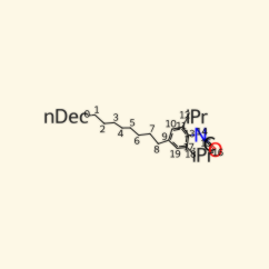 CCCCCCCCCCCCCCCCCCc1cc(C(C)C)c(N=C=O)c(C(C)C)c1